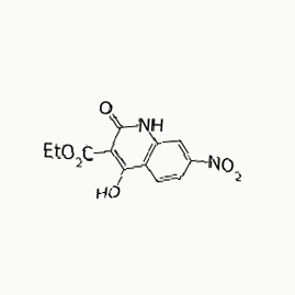 CCOC(=O)c1c(O)c2ccc([N+](=O)[O-])cc2[nH]c1=O